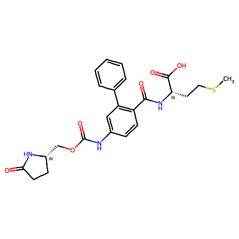 CSCC[C@H](NC(=O)c1ccc(NC(=O)OC[C@@H]2CCC(=O)N2)cc1-c1ccccc1)C(=O)O